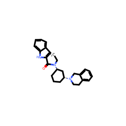 CCN(C(=O)c1cc2ccccc2[nH]1)[C@H]1CCC[C@@H](N2CCc3ccccc3C2)C1